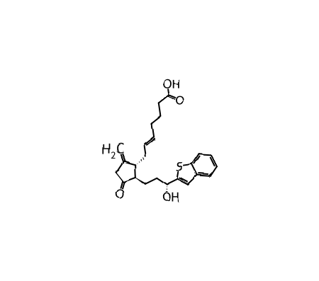 C=C1CC(=O)[C@H](CC[C@@H](O)c2cc3ccccc3s2)[C@H]1CC=CCCCC(=O)O